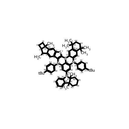 CC1c2cc3c4c(sc3cc2C2(C)CCC12)B1c2cc3c(cc2N(c2ccc(C(C)(C)C)cc2)c2cc(N5c6ccccc6C6(C)CCCCC56C)cc(c21)N4c1ccc(C(C)(C)C)cc1)C(C)(C)CCC3(C)C